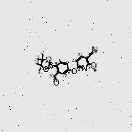 COc1nc(Oc2ccc(B3OC(C)(C)C(C)(C)O3)c(C=O)c2)ccc1C#N